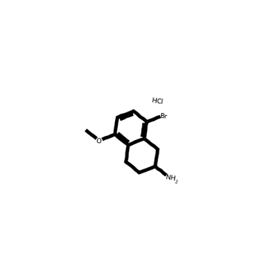 COc1ccc(Br)c2c1CCC(N)C2.Cl